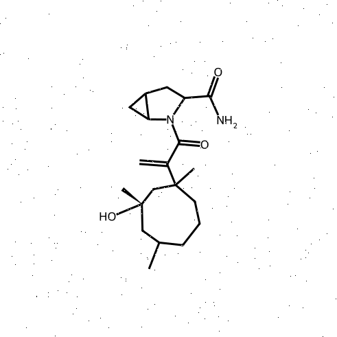 C=C(C(=O)N1C(C(N)=O)CC2CC21)C1(C)CCCC(C)C[C@](C)(O)C1